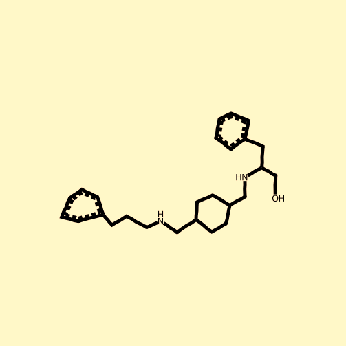 OCC(Cc1ccccc1)NCC1CCC(CNCCCc2ccccc2)CC1